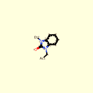 CCn1c(=O)n(CC(C)=O)c2ccccc21